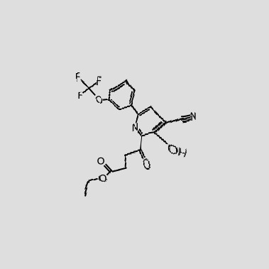 CCOC(=O)CCC(=O)c1nc(-c2cccc(OC(F)(F)F)c2)cc(C#N)c1O